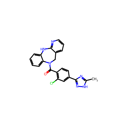 Cc1nc(-c2ccc(C(=O)N3Cc4cccnc4Nc4ccccc43)c(Cl)c2)n[nH]1